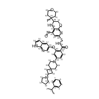 CC(C)c1ccccc1[C@@H]1CCCN1C1CC2(CCN(c3ccc(C(=O)NSc4cc(N=O)c5c(n4)OCC(C4(F)CCOCC4)N5)c(Oc4cnc5[nH]ccc5c4)c3)CC2)C1